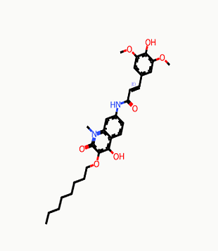 CCCCCCCCOc1c(O)c2ccc(NC(=O)/C=C/c3cc(OC)c(O)c(OC)c3)cc2n(C)c1=O